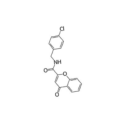 O=C(NCc1ccc(Cl)cc1)c1cc(=O)c2ccccc2o1